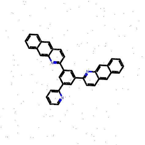 c1ccc(-c2cc(-c3ccc4cc5ccccc5cc4n3)cc(-c3ccc4cc5ccccc5cc4n3)c2)nc1